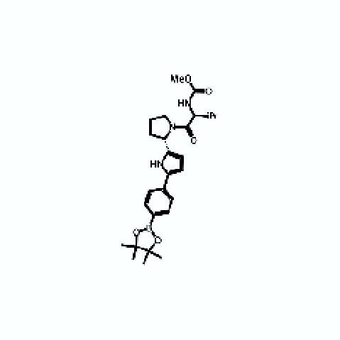 COC(=O)N[C@H](C(=O)N1CCC[C@H]1c1ccc(-c2ccc(B3OC(C)(C)C(C)(C)O3)cc2)[nH]1)C(C)C